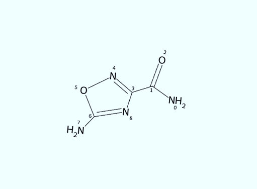 NC(=O)c1noc(N)n1